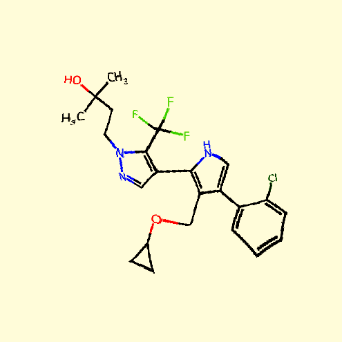 CC(C)(O)CCn1ncc(-c2[nH]cc(-c3ccccc3Cl)c2COC2CC2)c1C(F)(F)F